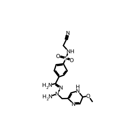 COC1C=NC(CN(N)/N=C(\N)c2ccc(S(=O)(=O)NCC#N)cc2)=CN1